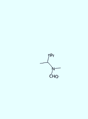 CCCC(C)N(C)[C]=O